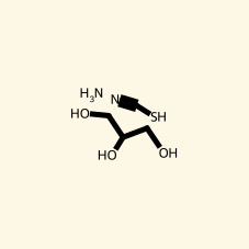 N.N#CS.OCC(O)CO